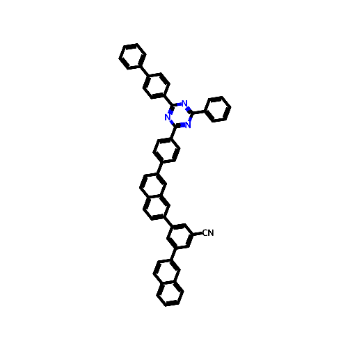 N#Cc1cc(-c2ccc3ccccc3c2)cc(-c2ccc3ccc(-c4ccc(-c5nc(-c6ccccc6)nc(-c6ccc(-c7ccccc7)cc6)n5)cc4)cc3c2)c1